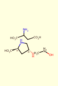 C[SiH2]O.NC(CC(=O)O)C(=O)O.O=C(O)[C@@H]1C[C@@H](O)CN1